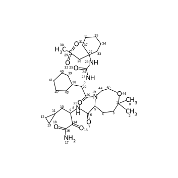 CC1(C)CCC(C(=O)NC(CC2CC2)C(=O)C(N)=O)N(C(=O)[C@@H](NC(=O)NC2(CS(C)(=O)=O)CCCCC2)C2CCCCC2)CCO1